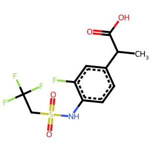 CC(C(=O)O)c1ccc(NS(=O)(=O)CC(F)(F)F)c(F)c1